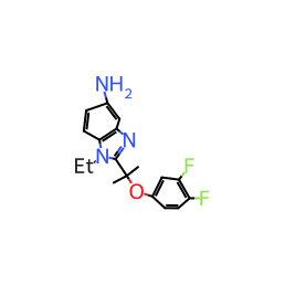 CCn1c(C(C)(C)Oc2ccc(F)c(F)c2)nc2cc(N)ccc21